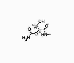 CNC(=O)[C@@H](OC(N)=O)[C@@H](C)O